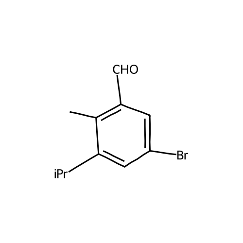 Cc1c(C=O)cc(Br)cc1C(C)C